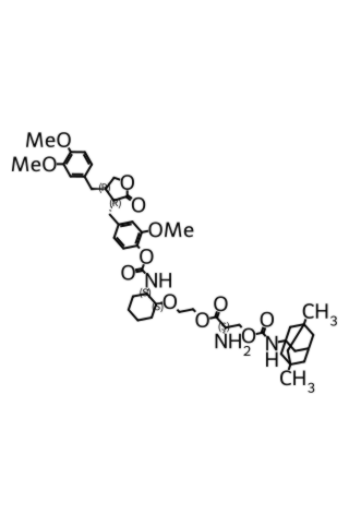 COc1ccc(C[C@H]2COC(=O)[C@@H]2Cc2ccc(OC(=O)N[C@H]3CCCC[C@@H]3OCCOC(=O)[C@@H](N)COC(=O)NC34CC5CC(C)(CC(C)(C5)C3)C4)c(OC)c2)cc1OC